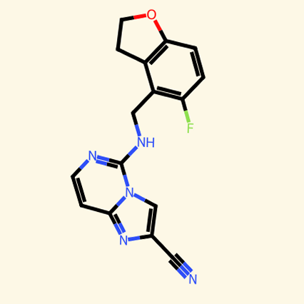 N#Cc1cn2c(NCc3c(F)ccc4c3CCO4)nccc2n1